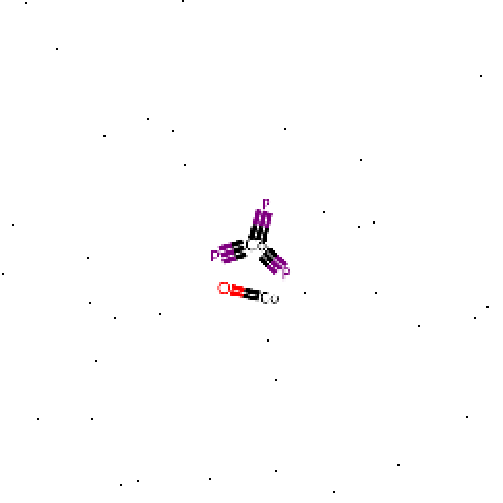 [O]=[Co].[P]#[Co](#[P])#[P]